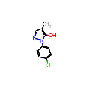 Cc1cnn(-c2ccc(Cl)cc2)c1O